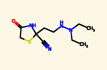 CCN(CC)NCCC1(C#N)NC(=O)CS1